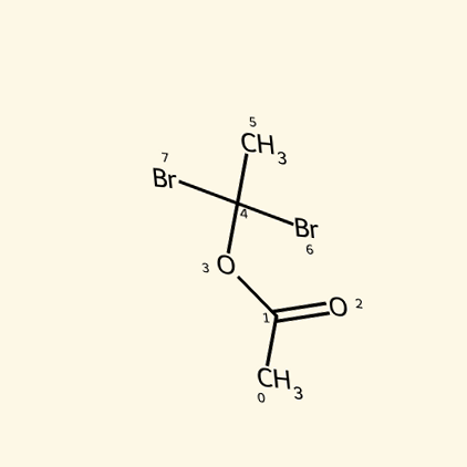 CC(=O)OC(C)(Br)Br